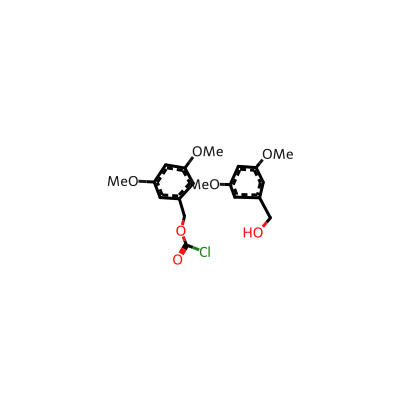 COc1cc(CO)cc(OC)c1.COc1cc(COC(=O)Cl)cc(OC)c1